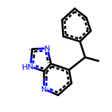 CC(c1ccccc1)c1ccnc2[nH][c]nc12